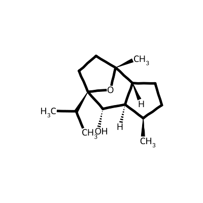 CC(C)[C@@]12CC[C@@](C)(O1)[C@@H]1CC[C@@H](C)[C@H]1[C@@H]2O